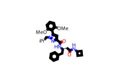 COc1cccc(OC)c1-c1cc(C(=O)N[C@H](CC(=O)NC2CCC2)Cc2ccccc2)nn1CC(C)C